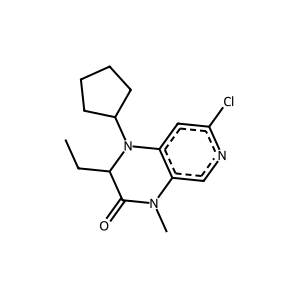 CCC1C(=O)N(C)c2cnc(Cl)cc2N1C1CCCC1